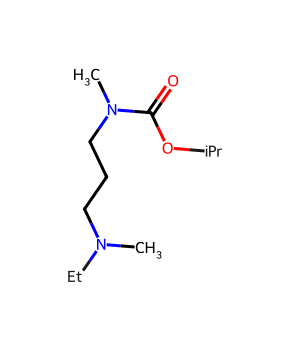 CCN(C)CCCN(C)C(=O)OC(C)C